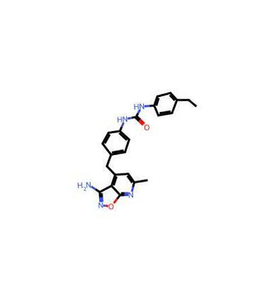 CCc1ccc(NC(=O)Nc2ccc(Cc3cc(C)nc4onc(N)c34)cc2)cc1